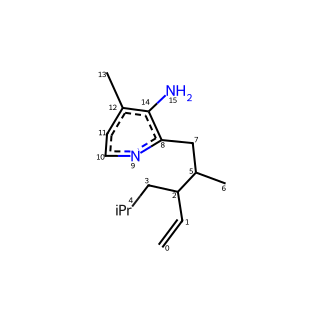 C=CC(CC(C)C)C(C)Cc1nccc(C)c1N